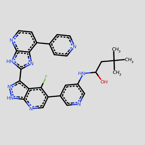 CC(C)(C)CC(O)Nc1cncc(-c2cnc3[nH]nc(-c4nc5c(-c6ccncc6)ccnc5[nH]4)c3c2F)c1